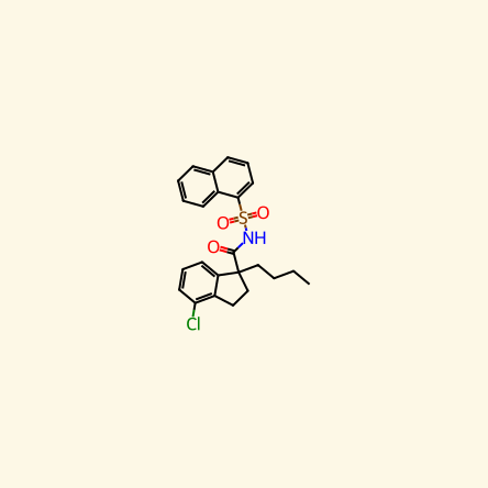 CCCCC1(C(=O)NS(=O)(=O)c2cccc3ccccc23)CCc2c(Cl)cccc21